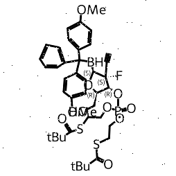 C#C[C@]1(F)[C@H](BC(c2ccccc2)(c2ccc(OC)cc2)c2ccc(OC)cc2)O[C@H](CO)[C@H]1OP(=O)(OCCSC(=O)C(C)(C)C)OCCSC(=O)C(C)(C)C